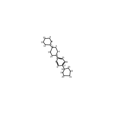 c1cc(C2CCC(C3CCCCC3)CC2)ccc1C1CCCCC1